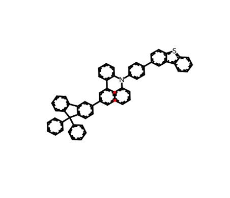 c1ccc(N(c2ccc(-c3ccc4sc5ccccc5c4c3)cc2)c2ccccc2-c2cccc(-c3ccc4c(c3)-c3ccccc3C4(c3ccccc3)c3ccccc3)c2)cc1